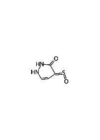 O=S=c1cc[nH][nH]c1=O